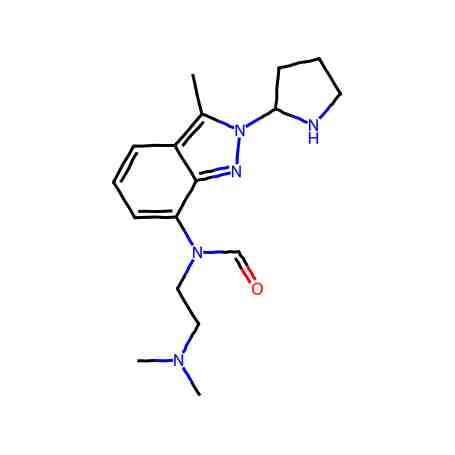 Cc1c2cccc(N(C=O)CCN(C)C)c2nn1C1CCCN1